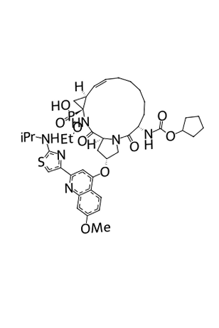 CCOP(=O)(O)[C@@]12C[C@H]1/C=C\CCCCC[C@H](NC(=O)OC1CCCC1)C(=O)N1C[C@H](Oc3cc(-c4csc(NC(C)C)n4)nc4cc(OC)ccc34)C[C@H]1C(=O)N2